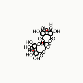 C[C@@H]1OC2COC(=O)c3cc(O)c(O)c(O)c3-c3c(cc(O)c(O)c3O)OO[C@H]2[C@@H]2OC(=O)c3cc(O)c(O)c(O)c3-c3c(cc(O)c(O)c3O)C(=O)OC12